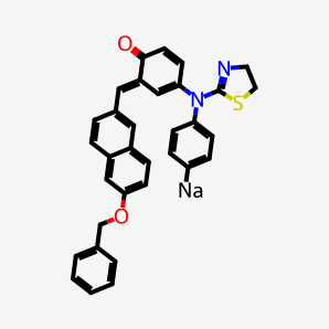 O=C1C=CC(N(C2=NCCS2)c2cc[c]([Na])cc2)=CC1=Cc1ccc2cc(OCc3ccccc3)ccc2c1